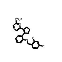 O=C(O)c1cncc(C2=C(c3ccccc3OCc3ccc(Cl)cc3F)CCC2)n1